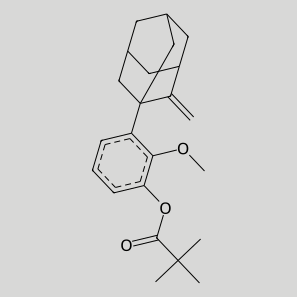 C=C1C2CC3CC(C2)CC1(c1cccc(OC(=O)C(C)(C)C)c1OC)C3